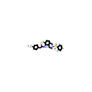 O=C(Cc1ccc(C(F)(F)F)cc1)Nc1c(Cl)ccc2c1CCN(S(=O)(=O)c1c(F)cccc1F)C2